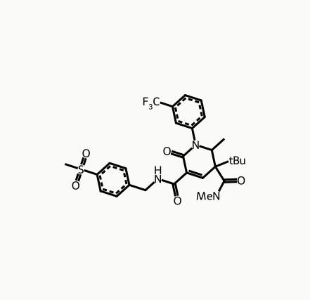 CNC(=O)C1(C(C)(C)C)C=C(C(=O)NCc2ccc(S(C)(=O)=O)cc2)C(=O)N(c2cccc(C(F)(F)F)c2)C1C